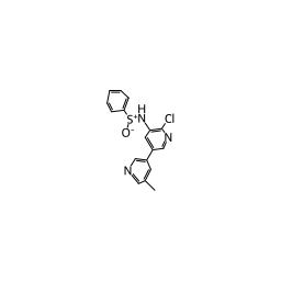 Cc1cncc(-c2cnc(Cl)c(N[S+]([O-])c3ccccc3)c2)c1